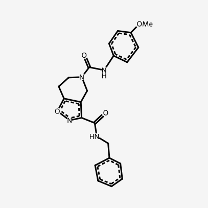 COc1ccc(NC(=O)N2CCc3onc(C(=O)NCc4ccccc4)c3C2)cc1